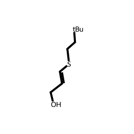 CC(C)(C)CCSC=CCO